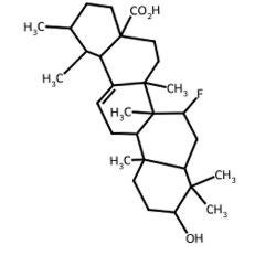 CC1CCC2(C(=O)O)CCC3(C)C(=CCC4C5(C)CCC(O)C(C)(C)C5CC(F)C43C)C2C1C